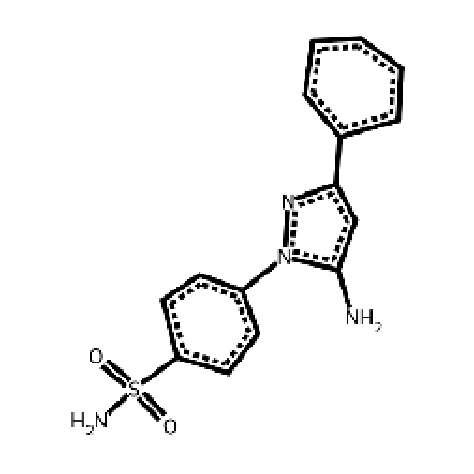 Nc1cc(-c2ccccc2)nn1-c1ccc(S(N)(=O)=O)cc1